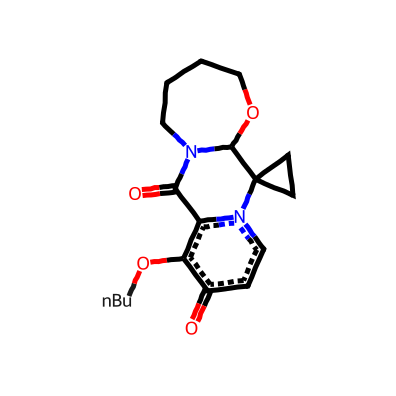 CCCCOc1c2n(ccc1=O)C1(CC1)C1OCCCCN1C2=O